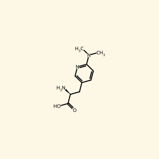 CN(C)c1ccc(C[C@H](N)C(=O)O)cn1